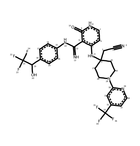 N#CCC1(Nc2cc[nH]c(=O)c2C(=N)Nc2ccc(C(O)C(F)(F)F)cc2)CCN(c2cc(C(F)(F)F)ccn2)CC1